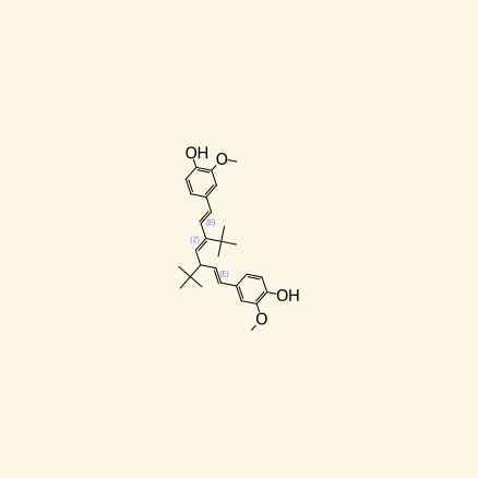 COc1cc(/C=C/C(=C/C(/C=C/c2ccc(O)c(OC)c2)C(C)(C)C)C(C)(C)C)ccc1O